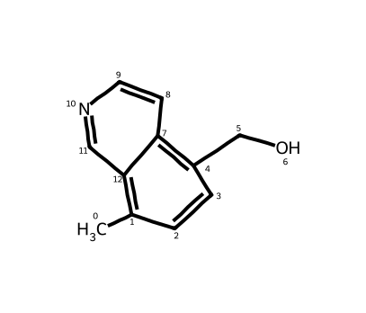 Cc1ccc(CO)c2ccncc12